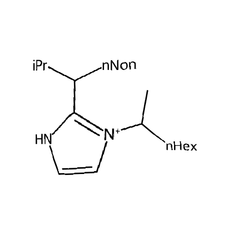 CCCCCCCCCC(c1[nH]cc[n+]1C(C)CCCCCC)C(C)C